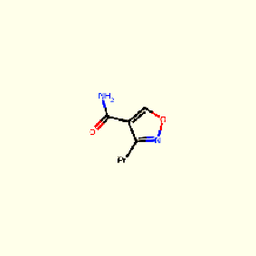 CC(C)c1nocc1C(N)=O